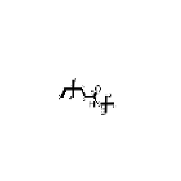 C=CC(C)(C)CCC(=O)NC(C)(C)C